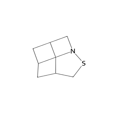 C1SN2CC3CC4CC1C432